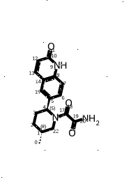 C[C@@H]1CC[C@@H](c2ccc3[nH]c(=O)ccc3c2)N(C(=O)C(N)=O)C1